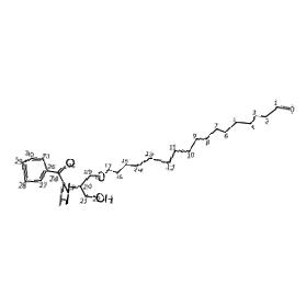 CCCCCCCCCCCCCCCCCCOCC(CO)NC(=O)c1ccccc1